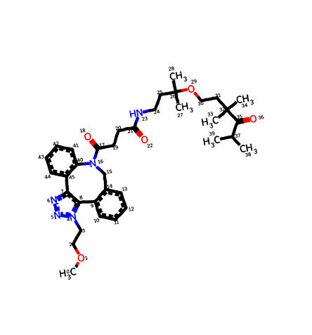 COCCn1nnc2c1-c1ccccc1CN(C(=O)CCC(=O)NCCC(C)(C)OCCC(C)(C)C(=O)C(C)C)c1ccccc1-2